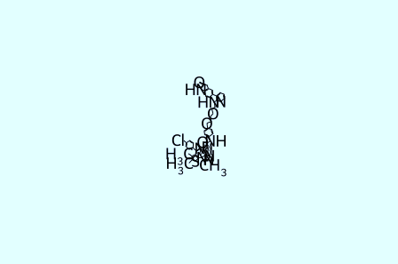 Cc1sc2c(c1C)C(c1ccc(Cl)cc1)=N[C@@H]([C@@H](I)C(=O)Nc1ccc(OCCOCCNc3ncccc3-c3ccc4c(c3)CC(=O)N4)cc1)c1nnc(C)n1-2